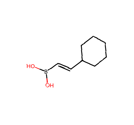 OB(O)/C=C/C1CCCCC1